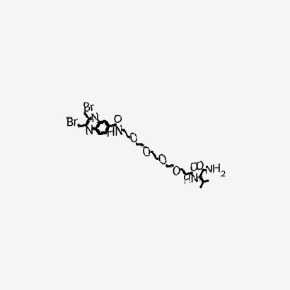 CC(C)[C@H](NC(=O)CCOCCOCCOCCOCCNC(=O)c1ccc2nc(CBr)c(CBr)nc2c1)C(N)=O